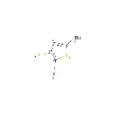 CC(C)(C)c1cc(F)c(I)s1